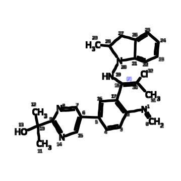 C=Nc1ccc(-c2cnc(C(C)(C)O)nc2)cc1/C(NN1c2ccccc2CC1C)=C(\C)Cl